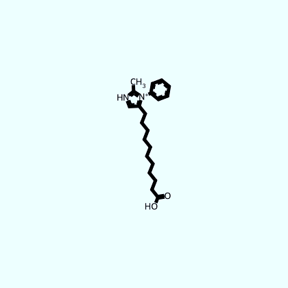 Cc1[nH]cc(CCCCCCCCCCC(=O)O)[n+]1-c1ccccc1